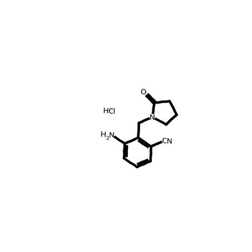 Cl.N#Cc1cccc(N)c1CN1CCCC1=O